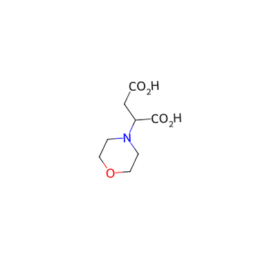 O=C(O)CC(C(=O)O)N1CCOCC1